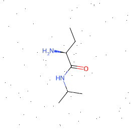 CC[C@H](N)C(=O)NC(C)C